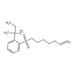 C=CCCCCCS(=O)(=O)c1ccccc1C(C)(C)CC